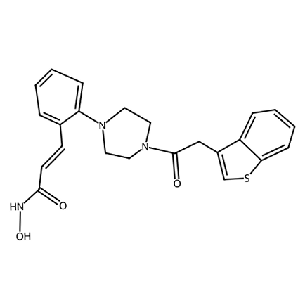 O=C(C=Cc1ccccc1N1CCN(C(=O)Cc2csc3ccccc23)CC1)NO